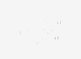 CCCCCc1cccc(Cl)c1Oc1ccc(Cl)cc1Cl